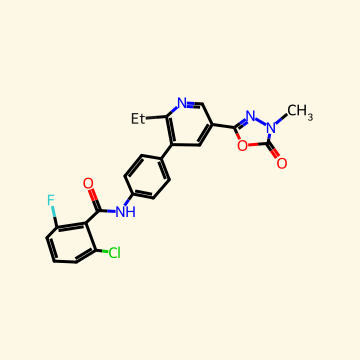 CCc1ncc(-c2nn(C)c(=O)o2)cc1-c1ccc(NC(=O)c2c(F)cccc2Cl)cc1